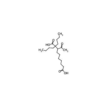 CCCCC(CCCC)(C(=O)O)C(CCCCCCC(=O)O)C(C)=O